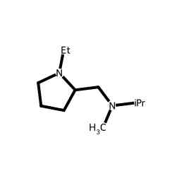 CCN1CCCC1CN(C)C(C)C